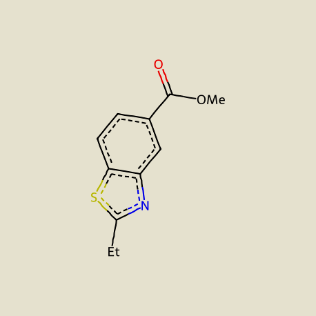 CCc1nc2cc(C(=O)OC)ccc2s1